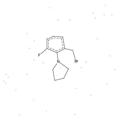 Fc1cccc(CBr)c1N1CCCC1